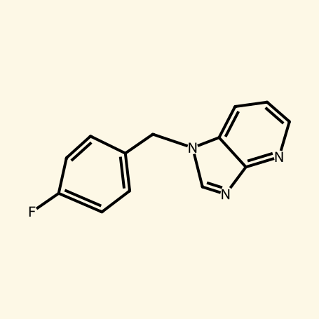 Fc1ccc(Cn2cnc3ncccc32)cc1